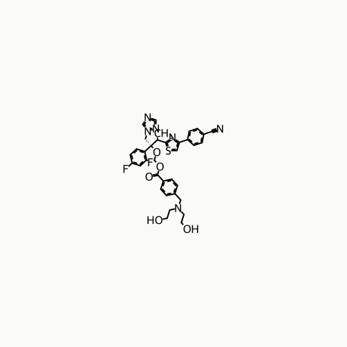 C[C@@H](c1nc(-c2ccc(C#N)cc2)cs1)[C@@](Cn1cncn1)(OCOC(=O)c1ccc(CN(CCO)CCO)cc1)c1ccc(F)cc1F